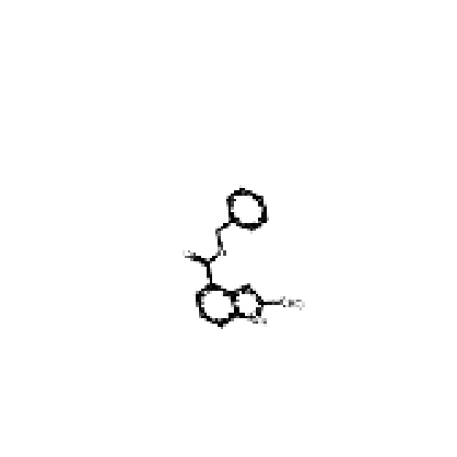 O=Cc1cc2c(C(=O)OCc3ccccc3)cccc2[nH]1